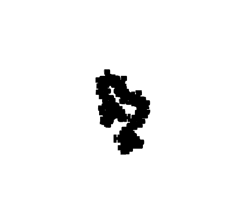 Cc1cc(Oc2c(C)cc(-c3cc(C)c(Oc4cc(C)c(OC(C)(C)Cc5ccc(-c6ccc(COc7ccc(O)cc7P7(=O)Oc8ccccc8-c8ccccc87)cc6)cc5)c(C)c4)c(C)c3C)c(C)c2C)cc(C)c1OC(C)(C)Cc1ccc(-c2ccc(COc3ccc(O)c(P4(=O)Oc5ccccc5-c5ccccc54)c3)cc2)cc1